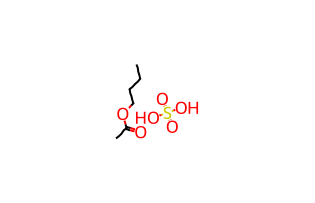 CCCCOC(C)=O.O=S(=O)(O)O